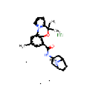 Cc1cc(C(=O)NC2CC3CCC(C2)N3C)c2c(c1)-n1cccc1C(C)(C)O2.Cl